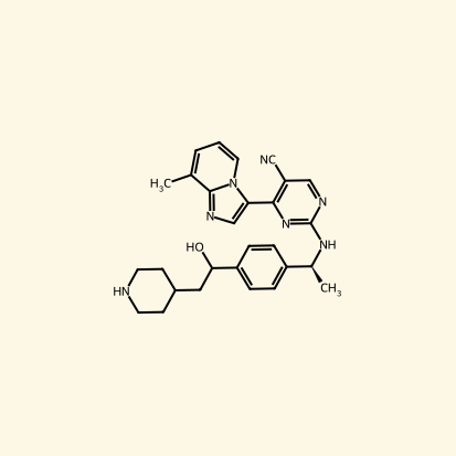 Cc1cccn2c(-c3nc(N[C@@H](C)c4ccc(C(O)CC5CCNCC5)cc4)ncc3C#N)cnc12